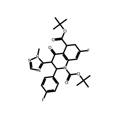 Cn1ncnc1C1C(=O)C2=C(C=C(F)CC2C(=O)OC(C)(C)C)N(C(=O)OC(C)(C)C)C1c1ccc(F)cc1